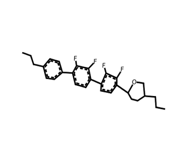 CCCc1ccc(-c2ccc(-c3ccc(C4CCC(CCC)CO4)c(F)c3F)c(F)c2F)cc1